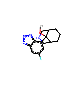 CC(C)OC1(c2cc(F)cc3[nH]nnc23)C2CCCC1CNC2